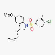 COc1ccc2c(c1)C(CCC=O)CN2S(=O)(=O)c1ccc(Cl)c(C)c1